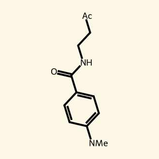 CNc1ccc(C(=O)NCCC(C)=O)cc1